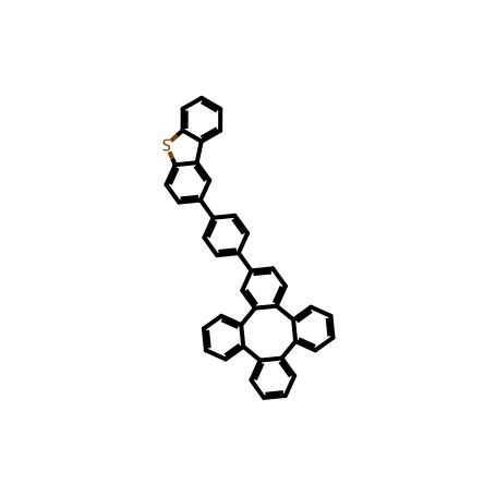 c1ccc2c(c1)-c1ccccc1-c1ccc(-c3ccc(-c4ccc5sc6ccccc6c5c4)cc3)cc1-c1ccccc1-2